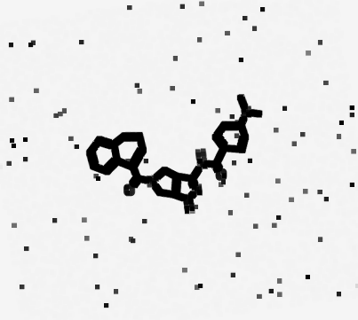 CN(C)c1ccc(C(=O)Nc2n[nH]c3c2CN(C(=O)c2cccc4ccccc24)C3)cc1